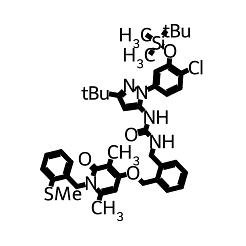 CSc1ccccc1Cn1c(C)cc(OCc2ccccc2CNC(=O)Nc2cc(C(C)(C)C)nn2-c2ccc(Cl)c(O[Si](C)(C)C(C)(C)C)c2)c(C)c1=O